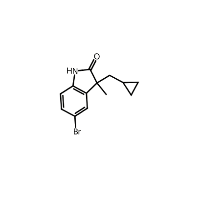 CC1(CC2CC2)C(=O)Nc2ccc(Br)cc21